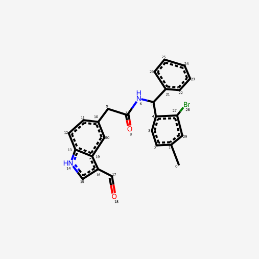 Cc1ccc(C(NC(=O)Cc2ccc3[nH]cc(C=O)c3c2)c2ccccc2)c(Br)c1